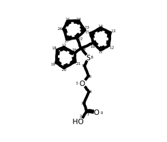 O=C(O)CCOCCSC(c1ccccc1)(c1ccccc1)c1ccccc1